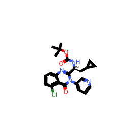 CC(C)(C)OC(=O)N[C@@H](CC1CC1)c1nc2cccc(Cl)c2c(=O)n1-c1cccnc1